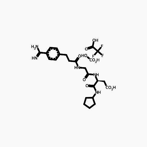 N=C(N)c1ccc(CCC(=O)NCC(=O)N[C@@H](CC(=O)O)C(=O)NC2CCCC2)cc1.O=C(O)C(F)(F)F.O=C(O)O